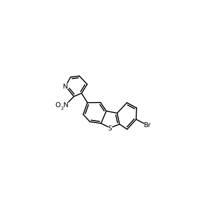 O=[N+]([O-])c1ncccc1-c1ccc2sc3cc(Br)ccc3c2c1